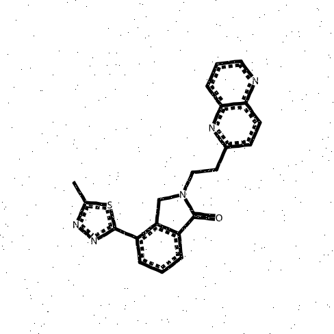 Cc1nnc(-c2cccc3c2CN(CCc2ccc4ncccc4n2)C3=O)s1